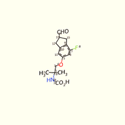 CC(C)(COc1cc(F)c2c(c1)CC(C=O)C2)NC(=O)O